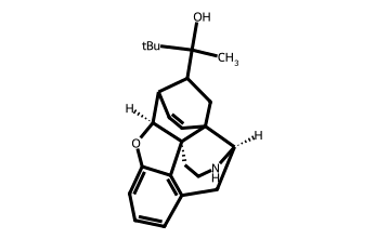 CC(C)(C)C(C)(O)C1CC23C=CC1[C@@H]1Oc4cccc5c4[C@@]12CCN[C@@H]3C5